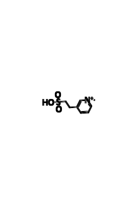 O=S(=O)(O)CCC1=C[N+]=CC=C1